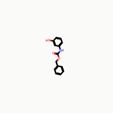 O=C(Nc1cccc(O)c1)OCc1ccccc1